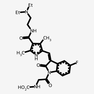 CCN(CC)CCNC(=O)c1c(C)[nH]c(C=C2C(=O)N(C(=O)CNC(=O)O)c3ccc(F)cc32)c1C